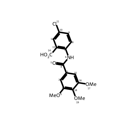 COc1cc(C(=O)Nc2ccc(Cl)cc2C(=O)O)cc(OC)c1OC